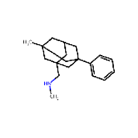 CNCC12CC3CC(C)(C1)CC(c1ccccc1)(C3)C2